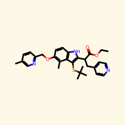 CCOC(=O)C(Cc1ccncc1)c1[nH]c2ccc(OCc3ccc(C)cn3)c(C)c2c1SC(C)(C)C